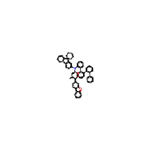 CC1C=C(N(c2ccc3c(c2)C2(CCCCC2)c2ccccc2-3)c2ccccc2-c2ccccc2-c2ccccc2-c2ccccc2)C=CC1c1ccc2c(c1)oc1ccccc12